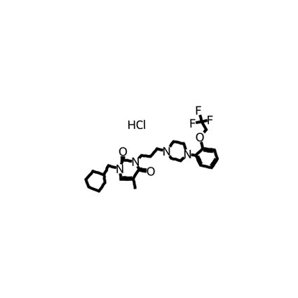 Cc1cn(CC2CCCCC2)c(=O)n(CCCN2CCN(c3ccccc3OCC(F)(F)F)CC2)c1=O.Cl